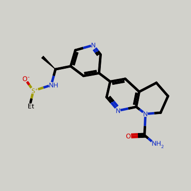 CC[S+]([O-])N[C@@H](C)c1cncc(-c2cnc3c(c2)CCCN3C(N)=O)c1